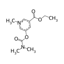 CCOC(=O)c1cc(OC(=O)N(C)C)c[n+](C)c1